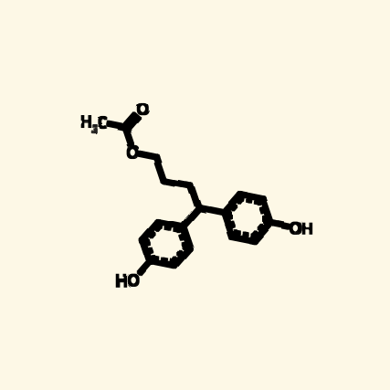 CC(=O)OCCCC(c1ccc(O)cc1)c1ccc(O)cc1